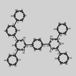 c1ccc(-c2cccc(-c3cc(-c4ccccc4)nc(-c4ccc(-c5nc(-c6ccccc6)nc(-c6ccccc6)n5)cc4)n3)c2)cc1